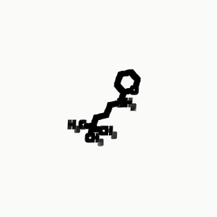 C[Si](C)(C)CCC[SiH2]C1CCCCO1